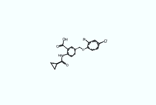 O=C(O)c1cc(COc2ccc(Cl)cc2Br)ccc1NC(=O)C1CC1